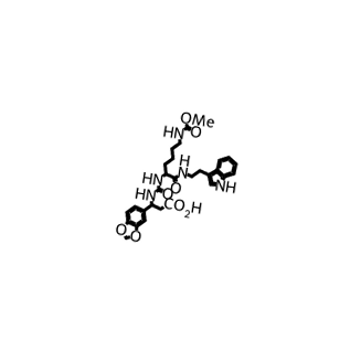 COC(=O)NCCCCC(NC(=O)NC(CC(=O)O)c1ccc2c(c1)OCO2)C(=O)NCCc1c[nH]c2ccccc12